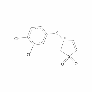 O=S1(=O)C=C[C@@H](Sc2ccc(Cl)c(Cl)c2)C1